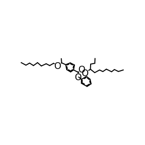 CCCCCCCCCOC(C)c1ccc(C(=O)Oc2ccccc2OC(CCC)CCCCCCCC)cc1